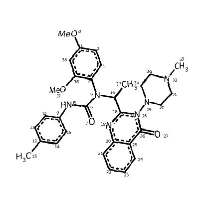 COc1ccc(N(C(=O)Nc2ccc(C)cc2)C(C)c2nc3ccccc3c(=O)n2N2CCN(C)CC2)c(OC)c1